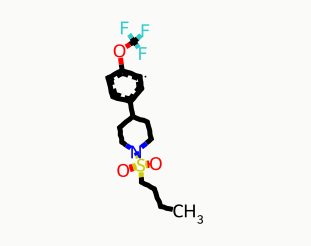 CCCCS(=O)(=O)N1CCC(c2c[c]c(OC(F)(F)F)cc2)CC1